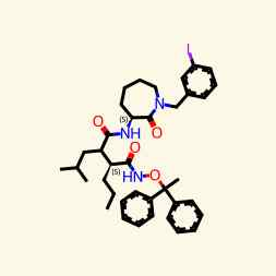 CCC[C@H](C(=O)NOC(C)(c1ccccc1)c1ccccc1)C(CC(C)C)C(=O)N[C@H]1CCCCN(Cc2cccc(I)c2)C1=O